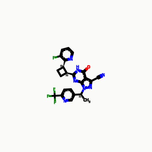 C[C@@H](c1ccc(C(F)(F)F)nc1)n1nc(C#N)c2c(=O)[nH]c([C@H]3CC[C@@H]3c3ncccc3F)nc21